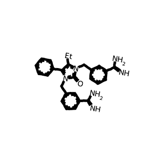 CCc1c(-c2ccccc2)n(Cc2cccc(C(=N)N)c2)c(=O)n1Cc1cccc(C(=N)N)c1